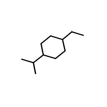 C[CH]C1CCC(C(C)C)CC1